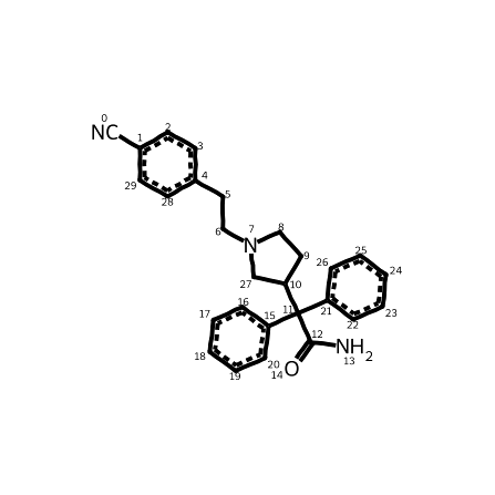 N#Cc1ccc(CCN2CCC(C(C(N)=O)(c3ccccc3)c3ccccc3)C2)cc1